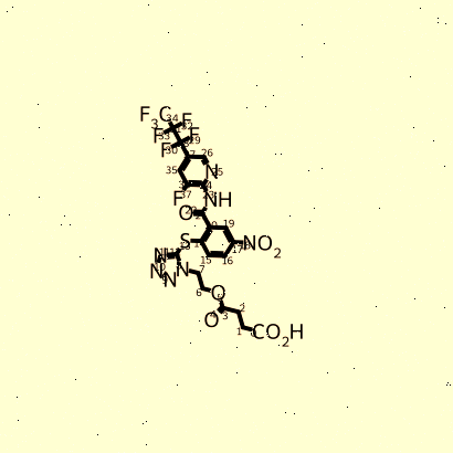 O=C(O)CCC(=O)OCCn1nnnc1Sc1ccc([N+](=O)[O-])cc1C(=O)Nc1ncc(C(F)(F)C(F)(F)C(F)(F)F)cc1F